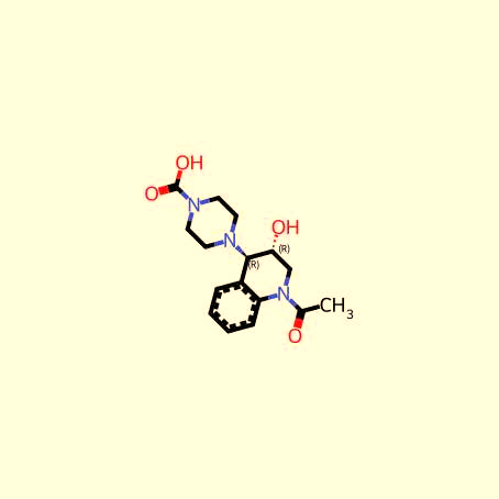 CC(=O)N1C[C@@H](O)[C@H](N2CCN(C(=O)O)CC2)c2ccccc21